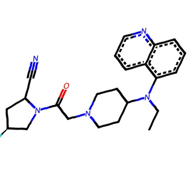 CCN(c1cccc2ncccc12)C1CCN(CC(=O)N2C[C@@H](F)CC2C#N)CC1